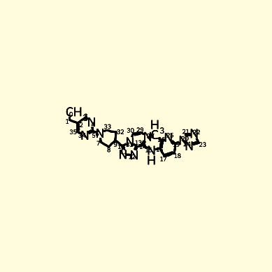 CCc1cnc(N2CCC(c3nnc4c(Nc5ccc(-n6cncn6)nc5C)nccn34)CC2)nc1